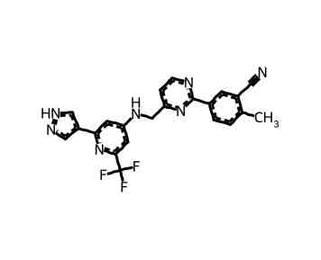 Cc1ccc(-c2nccc(CNc3cc(-c4cn[nH]c4)nc(C(F)(F)F)c3)n2)cc1C#N